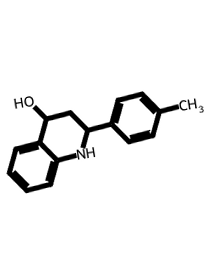 Cc1ccc(C2CC(O)c3ccccc3N2)cc1